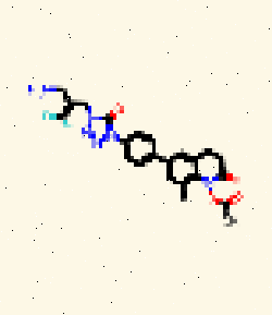 Cc1cc(-c2ccc(-n3nnn(CC(CN)=C(F)F)c3=O)cc2)cc2c1N(OC(=O)C(F)(F)F)C(=O)CC2